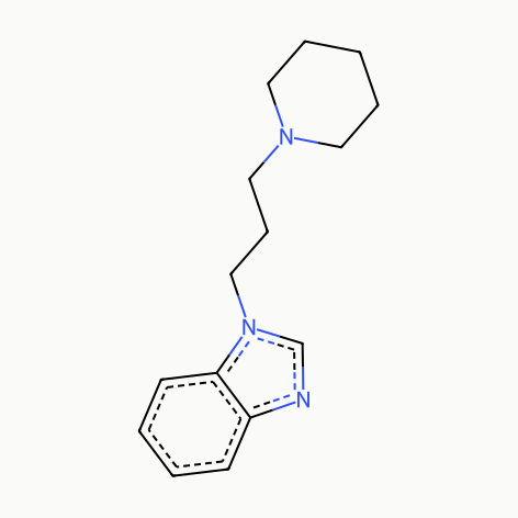 c1ccc2c(c1)ncn2CCCN1CCCCC1